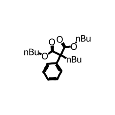 CCCCOC(=O)C(CCCC)(C(=O)OCCCC)c1ccccc1